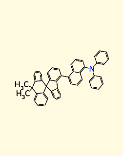 CC1(C)c2ccccc2C2(c3ccccc3-c3c(-c4cccc5c(N(c6ccccc6)c6ccccc6)cccc45)cccc32)c2ccccc21